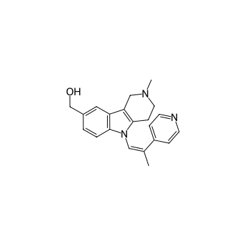 C/C(=C/n1c2c(c3cc(CO)ccc31)CN(C)CC2)c1ccncc1